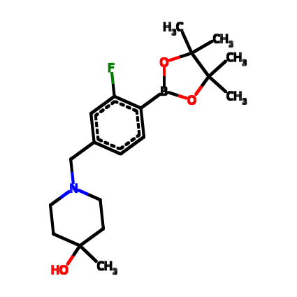 CC1(O)CCN(Cc2ccc(B3OC(C)(C)C(C)(C)O3)c(F)c2)CC1